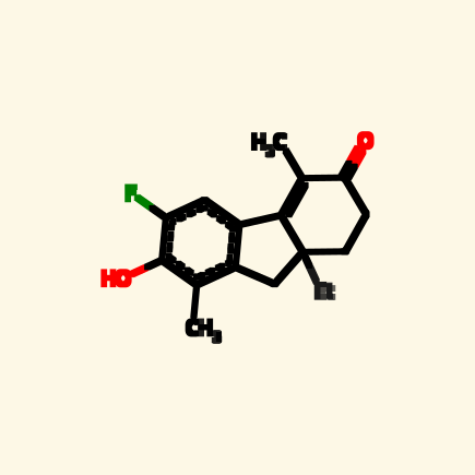 CCC12CCC(=O)C(C)=C1c1cc(F)c(O)c(C)c1C2